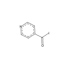 O=C(I)c1ccncc1